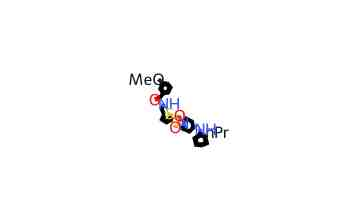 CCCc1ccccc1NC1CCN(S(=O)(=O)c2ccc(CNC(=O)c3cccc(OC)c3)s2)CC1